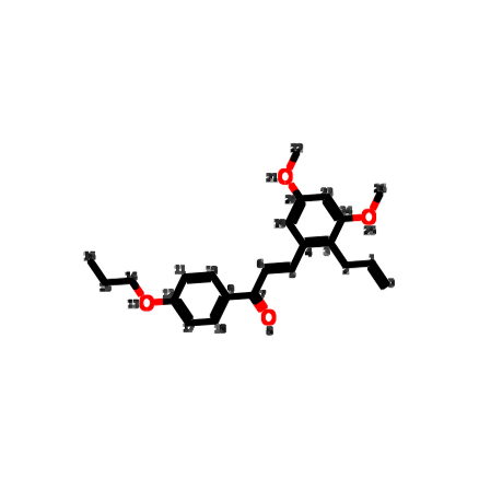 C=CCc1c(C=CC(=O)c2ccc(OCCC)cc2)cc(OC)cc1OC